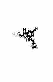 COc1nc2c(NCc3nccs3)nc(C#N)nc2[nH]1